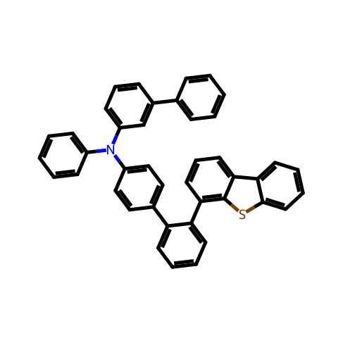 c1ccc(-c2cccc(N(c3ccccc3)c3ccc(-c4ccccc4-c4cccc5c4sc4ccccc45)cc3)c2)cc1